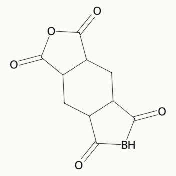 O=C1BC(=O)C2CC3C(=O)OC(=O)C3CC12